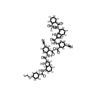 CCSc1ccc(C(=O)Nc2cccc3cc(C(=O)Nc4ccc(C#N)cc4C(=O)OC(=O)c4cc(C#N)ccc4NC(=O)c4cc5cccc(NC(=O)c6ccccc6S(C)(=O)=O)c5[nH]4)[nH]c23)cc1